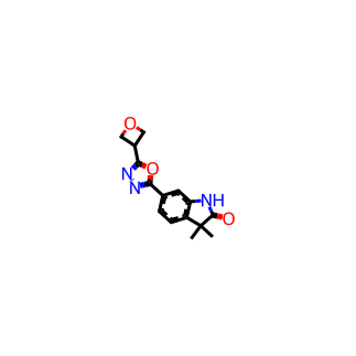 CC1(C)C(=O)Nc2cc(-c3nnc(C4COC4)o3)ccc21